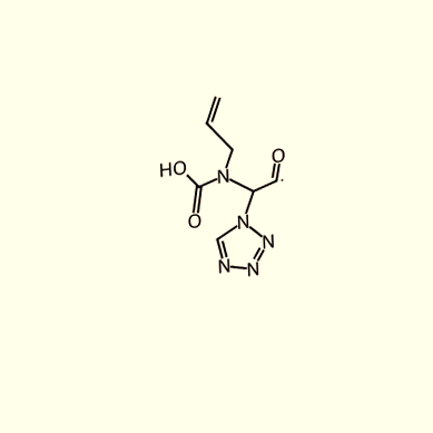 C=CCN(C(=O)O)C([C]=O)n1cnnn1